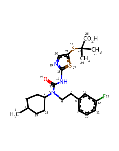 CC1CCC(N(CCc2cccc(F)c2)C(=O)Nc2ncc(SC(C)(C)C(=O)O)s2)CC1